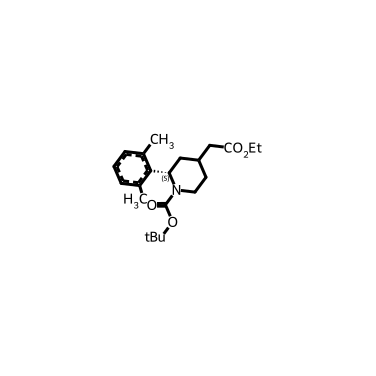 CCOC(=O)CC1CCN(C(=O)OC(C)(C)C)[C@H](c2c(C)cccc2C)C1